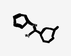 CC1CCCC(C(P)Nc2ccccc2)C1